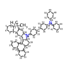 CC1(C)c2ccccc2-c2cc3c4c5c6ccccc6c6ccccc6c5ccc4n(-c4ccc(-c5ccc(N(c6ccccc6)c6ccccc6)cc5)cc4)c3cc21